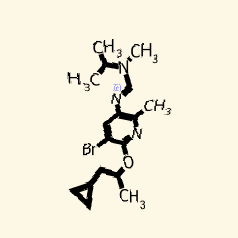 Cc1nc(OC(C)CC2CC2)c(Br)cc1/N=C/N(C)C(C)C